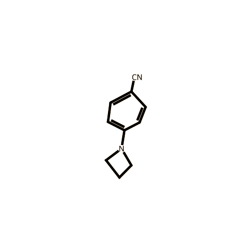 N#Cc1ccc(N2CCC2)cc1